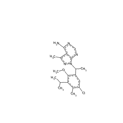 COc1c(C(C)n2nc(C)c3c(N)ncnc32)cc(Cl)c(C)c1C(C)C